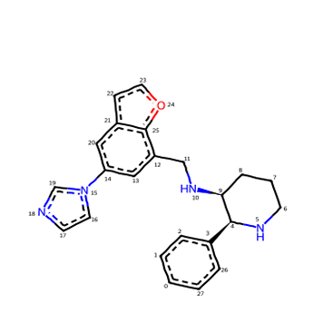 c1ccc([C@@H]2NCCC[C@@H]2NCc2cc(-n3ccnc3)cc3ccoc23)cc1